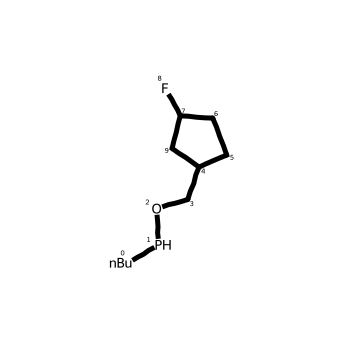 CCCCPOCC1CCC(F)C1